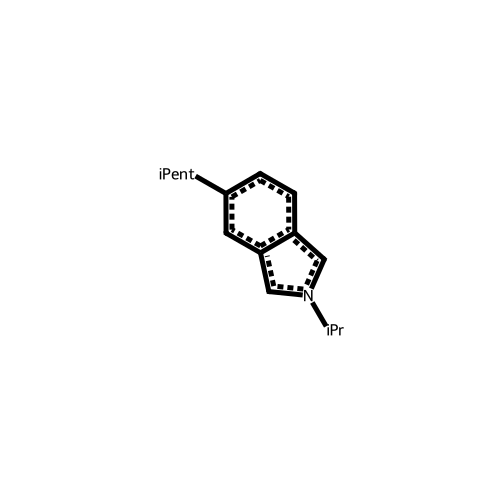 CCCC(C)c1ccc2cn(C(C)C)cc2c1